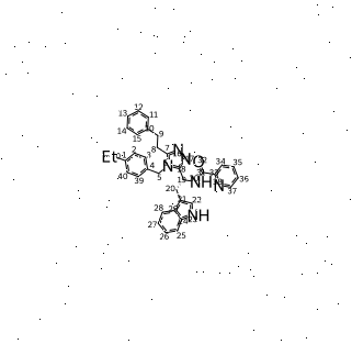 CCc1ccc(Cn2c(CCc3ccccc3)nnc2[C@@H](Cc2c[nH]c3ccccc23)NC(=O)c2ccccn2)cc1